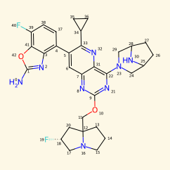 Nc1nc2c(-c3cc4nc(OCC56CCCN5C[C@H](F)C6)nc(N5CC6CCC(C5)N6)c4nc3C3CC3)ccc(F)c2o1